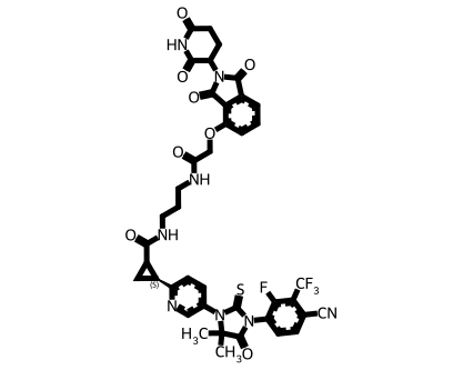 CC1(C)C(=O)N(c2ccc(C#N)c(C(F)(F)F)c2F)C(=S)N1c1ccc([C@H]2CC2C(=O)NCCCNC(=O)COc2cccc3c2C(=O)N(C2CCC(=O)NC2=O)C3=O)nc1